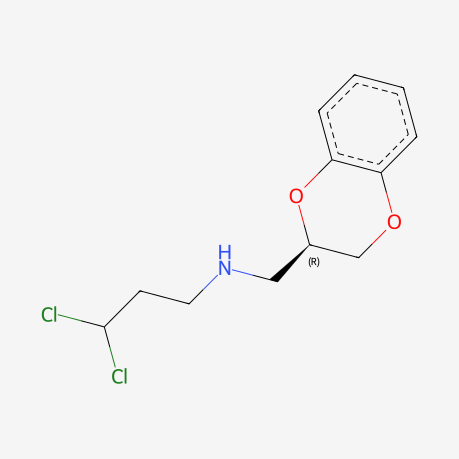 ClC(Cl)CCNC[C@@H]1COc2ccccc2O1